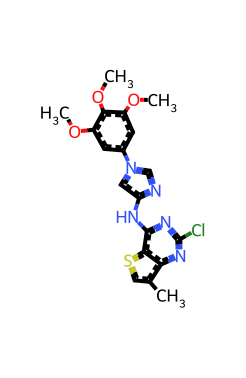 COc1cc(-n2cnc(Nc3nc(Cl)nc4c(C)csc34)c2)cc(OC)c1OC